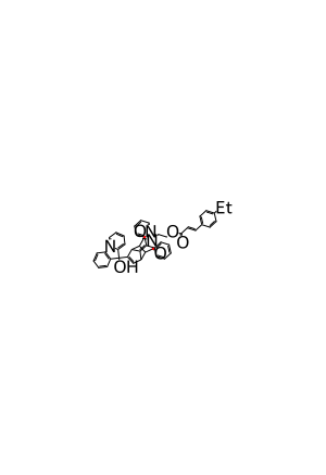 CCc1ccc(C=CC(=O)OCCN2C(=O)C3C4C=C(C(O)(c5ccccc5)c5ccccn5)C(C4=C(c4ccccc4)c4ccccn4)C3C2=O)cc1